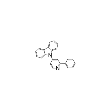 c1ccc(-c2cc(-n3c4ccccc4c4ccccc43)ccn2)cc1